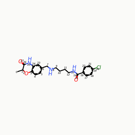 CC1Oc2ccc(CNCCCCNC(=O)c3ccc(Cl)cc3)cc2NC1=O